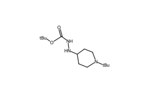 CC(C)(C)OC(=O)NNC1CCN(C(C)(C)C)CC1